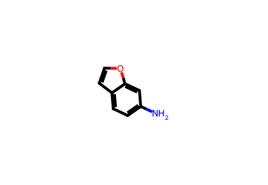 Nc1ccc2ccoc2c1